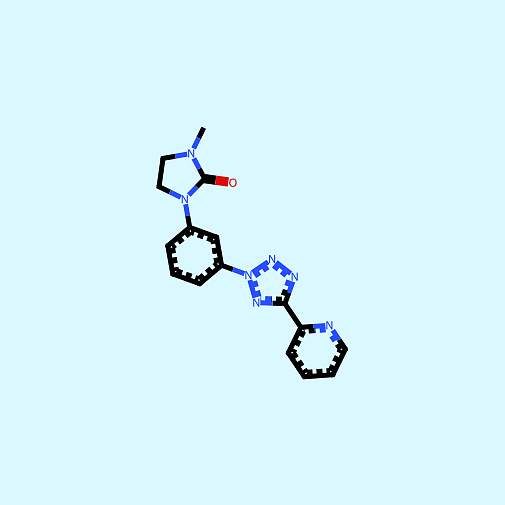 CN1CCN(c2cccc(-n3nnc(-c4ccccn4)n3)c2)C1=O